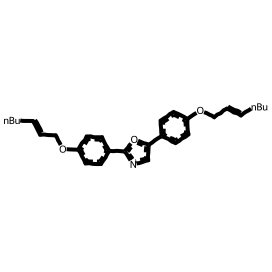 CCCCC=CCOc1ccc(-c2cnc(-c3ccc(OCC=CCCCC)cc3)o2)cc1